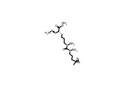 CC1(CCCN(N)C(=O)N(N)CCCC[C@H](N=NN)C(=O)ON)N=N1